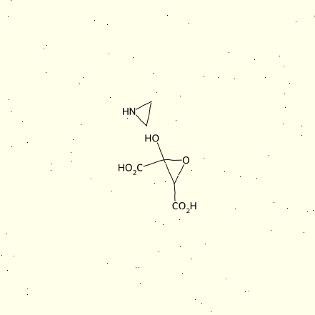 C1CN1.O=C(O)C1OC1(O)C(=O)O